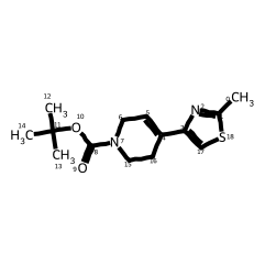 Cc1nc(C2=CCN(C(=O)OC(C)(C)C)CC2)cs1